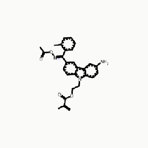 C=C(C)C(=O)OCCn1c2ccc(N)cc2c2cc(/C(=N/OC(C)=O)c3ccccc3C)ccc21